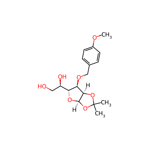 COc1ccc(CO[C@H]2[C@H]3OC(C)(C)O[C@H]3O[C@@H]2[C@H](O)CO)cc1